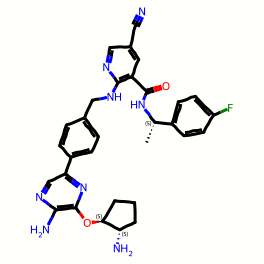 C[C@H](NC(=O)c1cc(C#N)cnc1NCc1ccc(-c2cnc(N)c(O[C@H]3CCC[C@@H]3N)n2)cc1)c1ccc(F)cc1